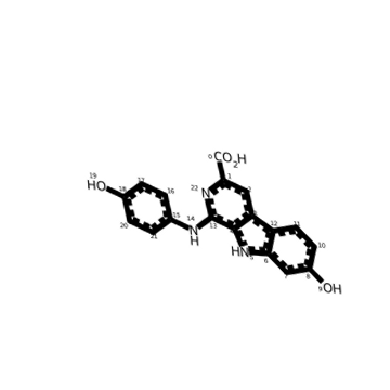 O=C(O)c1cc2c([nH]c3cc(O)ccc32)c(Nc2ccc(O)cc2)n1